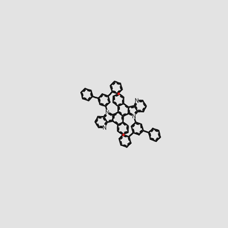 c1ccc(-c2cc(-c3ccccc3)cc(-n3c4cccnc4c4c5ccccc5c5c(c6ccccc6c6c7ncccc7n(-c7cc(-c8ccccc8)cc(-c8ccccc8)c7)c65)c43)c2)cc1